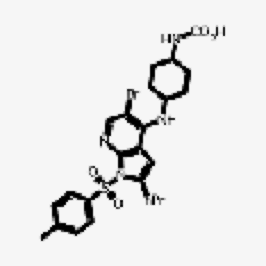 CCCc1cc2c(NC3CCC(NC(=O)O)CC3)c(Br)cnc2n1S(=O)(=O)c1ccc(C)cc1